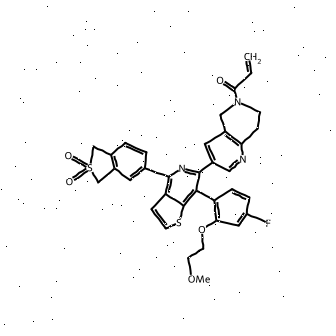 C=CC(=O)N1CCc2ncc(-c3nc(-c4ccc5c(c4)CS(=O)(=O)C5)c4ccsc4c3-c3ccc(F)cc3OCCOC)cc2C1